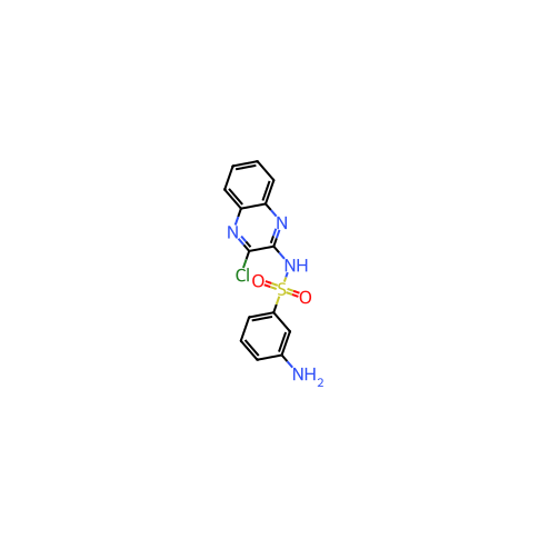 Nc1cccc(S(=O)(=O)Nc2nc3ccccc3nc2Cl)c1